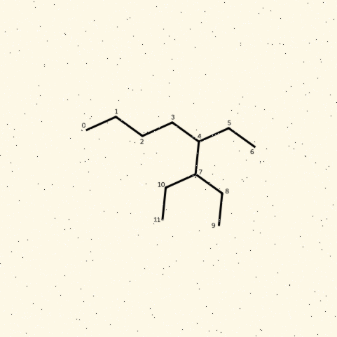 [CH2]CCCC(CC)[C](CC)CC